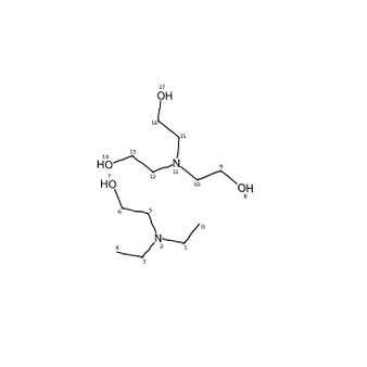 CCN(CC)CCO.OCCN(CCO)CCO